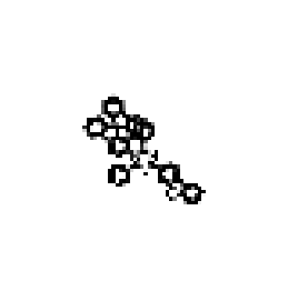 c1ccc(-c2nc(-c3ccc4c(c3)oc3ccccc34)nc(-c3ccccc3-c3cccc4c3C3(c5ccccc5-c5ccccc53)c3ccccc3-4)n2)cc1